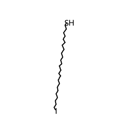 SCCCCCCCCCCCCCCCCCCCCCCCCCI